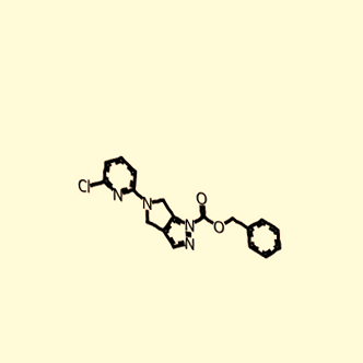 O=C(OCc1ccccc1)n1ncc2c1CN(c1cccc(Cl)n1)C2